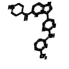 FC(F)(F)c1cccc(Nc2ncc(-c3cnc4ccc(NC5CCNCC5)nn34)cn2)n1